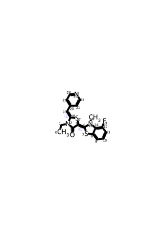 CCn1c(=O)/c(=C2\Sc3cccc(F)c3N2C)s/c1=C\c1ccncc1